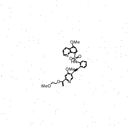 C=C(OCCOC)c1cc(OC)c(C#Cc2ccccc2NS(=O)(=O)c2ccc(OC)c3cccnc23)cn1